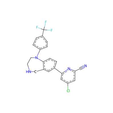 N#Cc1cc(Cl)cc(-c2ccc3c(c2)CNCCN3c2ccc(C(F)(F)F)cc2)n1